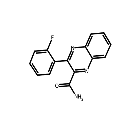 NC(=O)c1nc2ccccc2nc1-c1ccccc1F